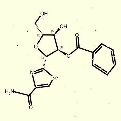 NC(=O)c1c[se]c([C@@H]2O[C@H](CO)[C@@H](O)[C@H]2OC(=O)c2ccccc2)n1